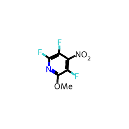 COc1nc(F)c(F)c([N+](=O)[O-])c1F